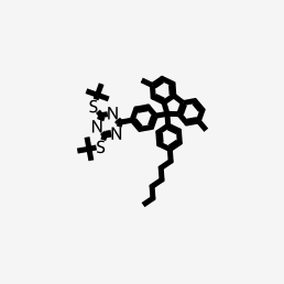 CCCCCCc1ccc(C2(c3ccc(-c4nc(SC(C)(C)C)nc(SC(C)(C)C)n4)cc3)c3cc(C)ccc3-c3ccc(C)cc32)cc1